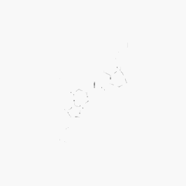 O=C(Nc1cccn(C2CC2F)c1=O)c1cn2cc(C34COC(C3)C4)nc2nc1OC1CCC1